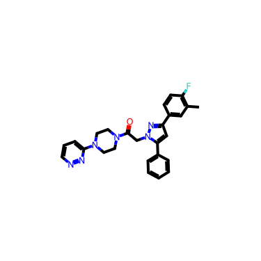 Cc1cc(-c2cc(-c3ccccc3)n(CC(=O)N3CCN(c4cccnn4)CC3)n2)ccc1F